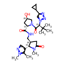 Cc1c([C@@H]2[C@@H](CNC(=O)[C@@H]3C[C@@H](O)CN3C(=O)[C@@H](n3cc(C4CC4)nn3)C(C)(C)C)CC(=O)N2C)cnn1C